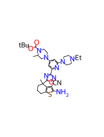 CCN1CCN(c2cc(N3CCN(C(=O)OC(C)(C)C)C(C)C3)cc(-c3noc(C4(C)CCCc5sc(N)c(C#N)c54)n3)n2)CC1